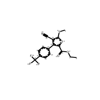 CCOC(=O)c1sc(SC)c(C#N)c1-c1ccc(C(F)(F)F)cc1